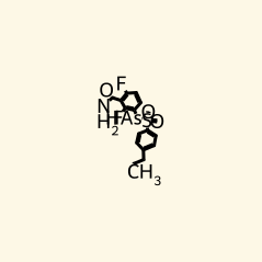 CCCc1ccc(S(=O)(=O)[AsH]c2ccc(F)c(C(N)=O)c2F)cc1